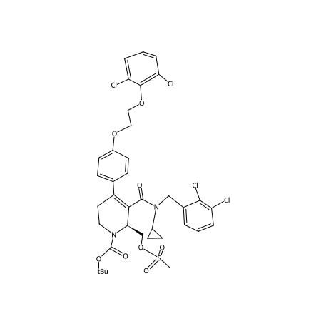 CC(C)(C)OC(=O)N1CCC(c2ccc(OCCOc3c(Cl)cccc3Cl)cc2)=C(C(=O)N(Cc2cccc(Cl)c2Cl)C2CC2)[C@H]1COS(C)(=O)=O